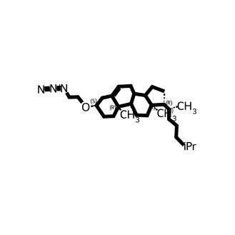 CC(C)CCC[C@@H](C)[C@H]1CCC2C3CC=C4C[C@@H](OCCN=[N+]=[N-])CC[C@]4(C)C3CC[C@@]21C